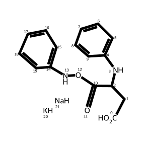 O=C(O)CC(Nc1ccccc1)C(=O)ONc1ccccc1.[KH].[NaH]